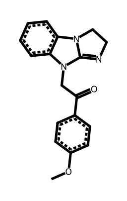 COc1ccc(C(=O)CN2C3=NCCN3c3ccccc32)cc1